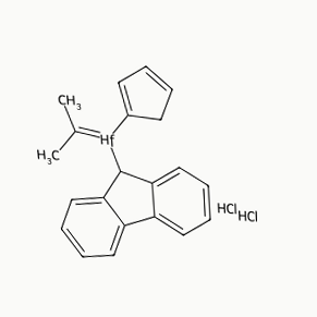 C[C](C)=[Hf]([C]1=CC=CC1)[CH]1c2ccccc2-c2ccccc21.Cl.Cl